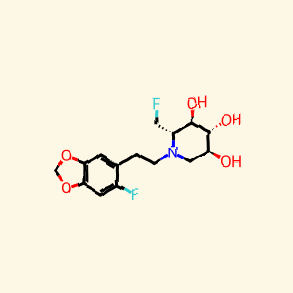 O[C@H]1[C@H](O)[C@@H](O)CN(CCc2cc3c(cc2F)OCO3)[C@@H]1CF